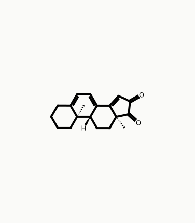 C[C@]12CC[C@H]3C(=CC=C4CCCC[C@@]43C)C1=CC(=O)C2=O